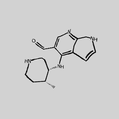 C[C@@H]1CCNC[C@@H]1Nc1c(C=O)cnc2[nH]ccc12